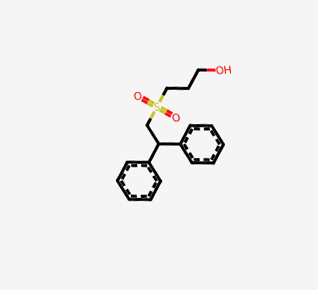 O=S(=O)(CCCO)CC(c1ccccc1)c1ccccc1